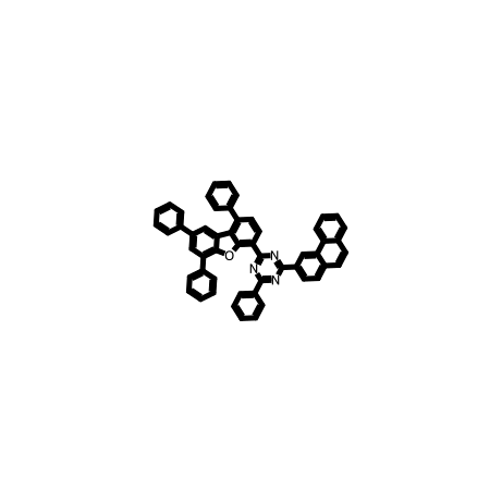 c1ccc(-c2cc(-c3ccccc3)c3oc4c(-c5nc(-c6ccccc6)nc(-c6ccc7ccc8ccccc8c7c6)n5)ccc(-c5ccccc5)c4c3c2)cc1